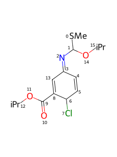 CSC(/N=C1\C=CC(Cl)C(C(=O)OC(C)C)=C1)OC(C)C